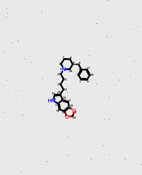 c1ccc(C[C@@H]2CCCN(CCCCc3c[nH]c4cc5c(cc34)OCO5)C2)cc1